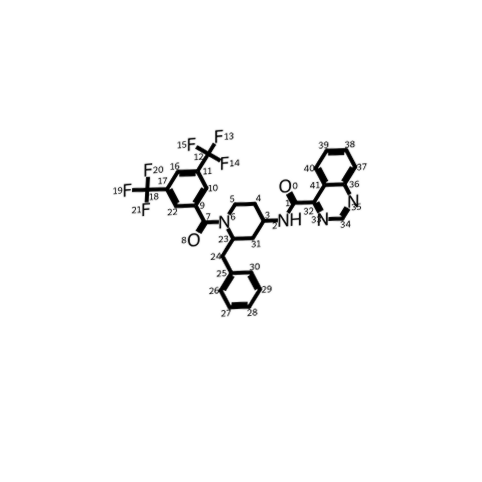 O=C(NC1CCN(C(=O)c2cc(C(F)(F)F)cc(C(F)(F)F)c2)C(Cc2ccccc2)C1)c1ncnc2ccccc12